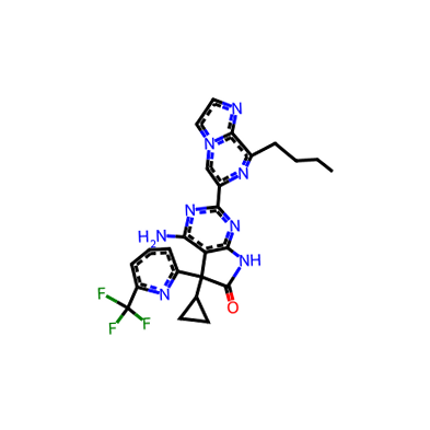 CCCCc1nc(-c2nc(N)c3c(n2)NC(=O)C3(c2cccc(C(F)(F)F)n2)C2CC2)cn2ccnc12